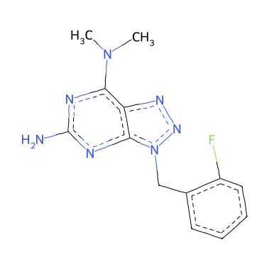 CN(C)c1nc(N)nc2c1nnn2Cc1ccccc1F